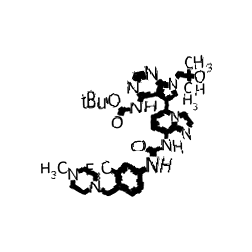 CN1CCN(Cc2ccc(NC(=O)Nc3ccc(-c4cn(CC(C)(C)O)c5ncnc(NC(=O)OC(C)(C)C)c45)n4ccnc34)cc2C(F)(F)F)CC1